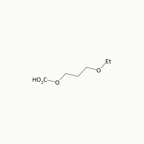 CCOCCCOC(=O)O